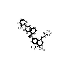 CC1(C)CCN(CCS(C)(=O)=O)c2cc(Nc3ncnc4c3CCN(c3ncccc3Cl)C4)ccc21